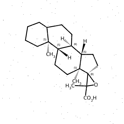 CC1(C(=O)O)O[C@@]12CC[C@H]1[C@@H]3CCC4CCCC[C@]4(C)[C@H]3CC[C@@]12C